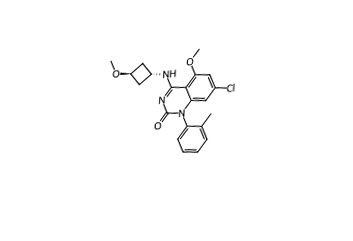 COc1cc(Cl)cc2c1c(N[C@H]1C[C@H](OC)C1)nc(=O)n2-c1ccccc1C